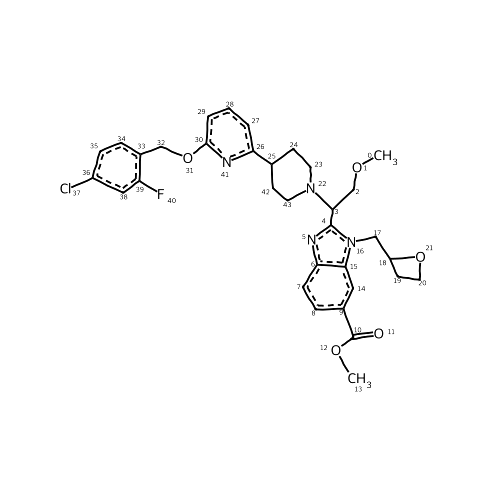 COCC(c1nc2ccc(C(=O)OC)cc2n1CC1CCO1)N1CCC(c2cccc(OCc3ccc(Cl)cc3F)n2)CC1